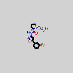 O=C(Nc1cc(-c2cccc(Br)c2)on1)[C@@H]1CCCN1C(=O)O